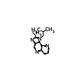 Cc1nc2cnc3cccnc3c2n1CC(C)C